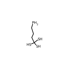 PCCCC(S)(S)S